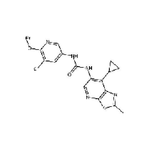 Cc1nc2c(C3CC3)c(NC(=O)Nc3cnc(OC(C)C)c(Cl)c3)cnc2s1